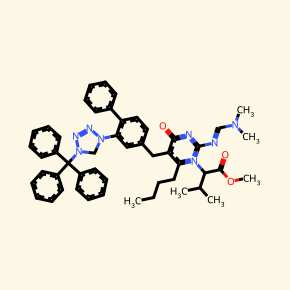 CCCCc1c(Cc2ccc(-c3ccccc3)c(N3CN(C(c4ccccc4)(c4ccccc4)c4ccccc4)N=N3)c2)c(=O)nc(N=CN(C)C)n1C(C(=O)OC)C(C)C